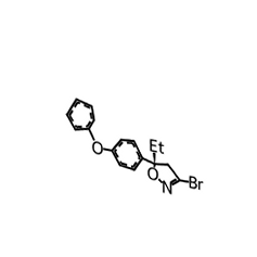 CC[C@@]1(c2ccc(Oc3ccccc3)cc2)CC(Br)=NO1